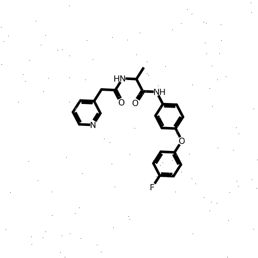 CC(NC(=O)Cc1cccnc1)C(=O)Nc1ccc(Oc2ccc(F)cc2)cc1